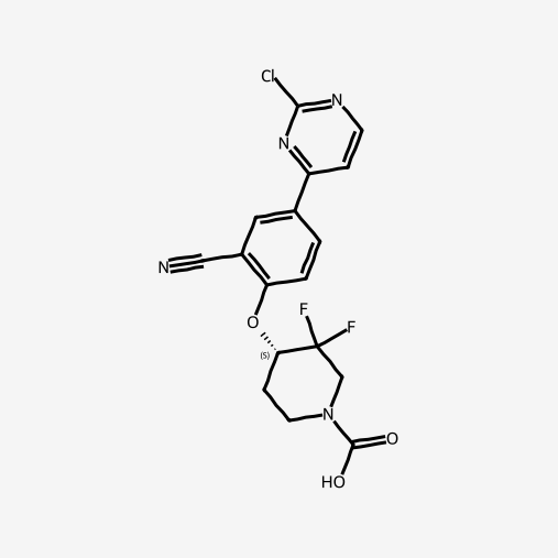 N#Cc1cc(-c2ccnc(Cl)n2)ccc1O[C@H]1CCN(C(=O)O)CC1(F)F